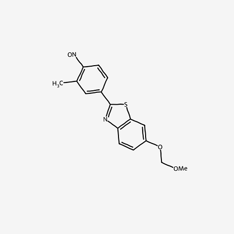 COCOc1ccc2nc(-c3ccc(N=O)c(C)c3)sc2c1